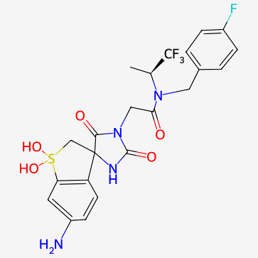 C[C@H](N(Cc1ccc(F)cc1)C(=O)CN1C(=O)NC2(CS(O)(O)c3cc(N)ccc32)C1=O)C(F)(F)F